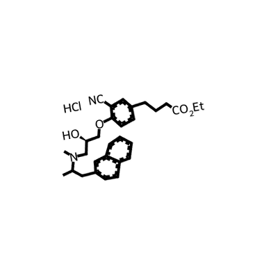 CCOC(=O)CCCc1ccc(OC[C@H](O)CN(C)C(C)Cc2ccc3ccccc3c2)c(C#N)c1.Cl